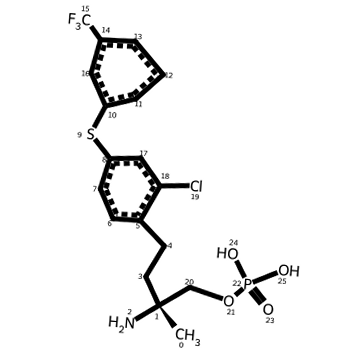 C[C@@](N)(CCc1ccc(Sc2cccc(C(F)(F)F)c2)cc1Cl)COP(=O)(O)O